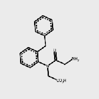 NCC(=O)N(CC(=O)O)c1ccccc1Cc1ccccc1